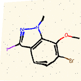 COc1c(Br)ccc2c(I)nn(C)c12